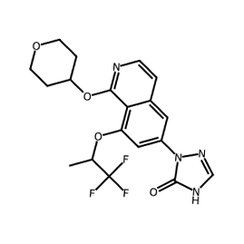 CC(Oc1cc(-n2nc[nH]c2=O)cc2ccnc(OC3CCOCC3)c12)C(F)(F)F